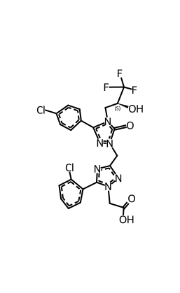 O=C(O)Cn1nc(Cn2nc(-c3ccc(Cl)cc3)n(C[C@H](O)C(F)(F)F)c2=O)nc1-c1ccccc1Cl